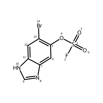 O=S(=O)(F)Oc1cc2nc[nH]c2cc1Br